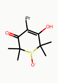 CC(C)C1=C(O)C(C)(C)[S+]([O-])C(C)(C)C1=O